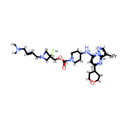 CC(C)c1cnn2c(NC3CCN(C(=O)OCC4(F)CN(C/C=C/CN(C)C)C4)CC3)cc(C3CCOCC3)nc12